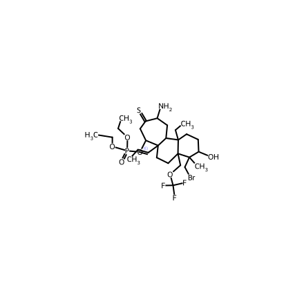 C/C=C/C12CCC3(COC(F)(F)F)C(C)(CBr)C(O)CCC3(CC)C1CC(N)C(=S)CC2OP(=O)(OCC)OCC